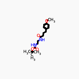 COc1ccc(CCCC(=O)NCCNC(=O)OC(C)(C)C)cc1